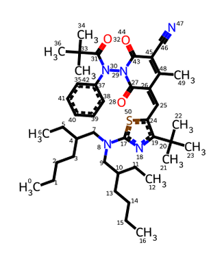 CCCCC(CC)CN(CC(CC)CCCC)c1nc(C(C)(C)C)c(/C=C2\C(=O)N(N(C(=O)C(C)(C)C)c3ccccc3)C(=O)C(C#N)=C2C)s1